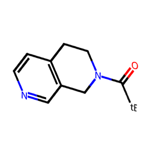 CC(C)(C)C(=O)N1CCc2ccncc2C1